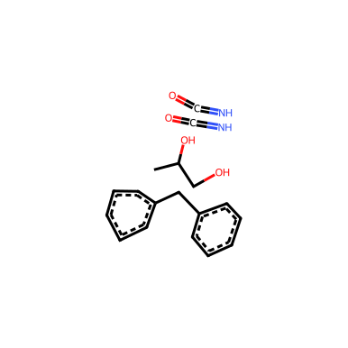 CC(O)CO.N=C=O.N=C=O.c1ccc(Cc2ccccc2)cc1